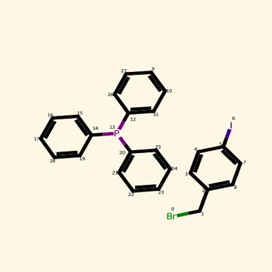 BrCc1ccc(I)cc1.c1ccc(P(c2ccccc2)c2ccccc2)cc1